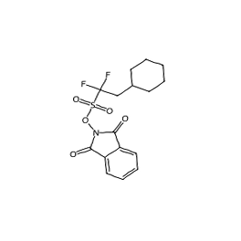 O=C1c2ccccc2C(=O)N1OS(=O)(=O)C(F)(F)CC1CCCCC1